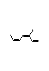 C=C/C(Br)=C\C=C/C